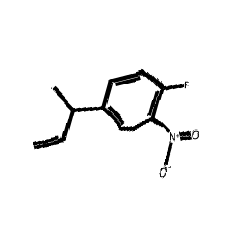 [CH2]C(C=C)c1ccc(F)c([N+](=O)[O-])c1